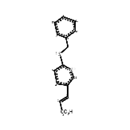 O=C(O)C=Cc1ccc(SCc2ccccc2)nc1